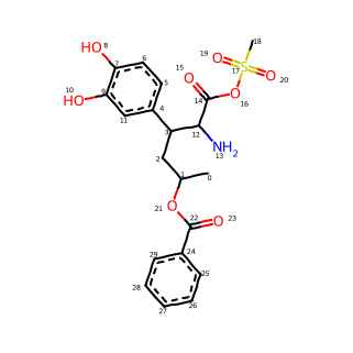 CC(CC(c1ccc(O)c(O)c1)C(N)C(=O)OS(C)(=O)=O)OC(=O)c1ccccc1